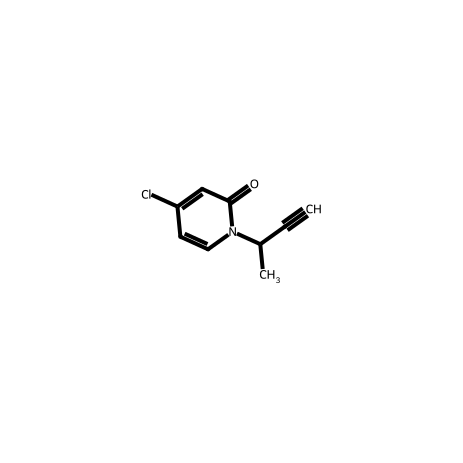 C#CC(C)n1ccc(Cl)cc1=O